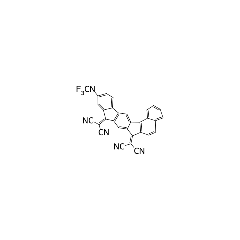 N#CC(C#N)=C1c2cc(NC(F)(F)F)ccc2-c2cc3c(cc21)C(=C(C#N)C#N)c1ccc2ccccc2c1-3